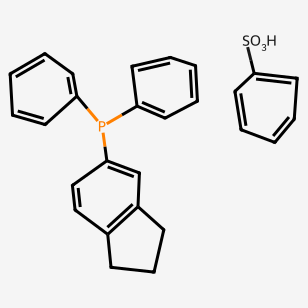 O=S(=O)(O)c1ccccc1.c1ccc(P(c2ccccc2)c2ccc3c(c2)CCC3)cc1